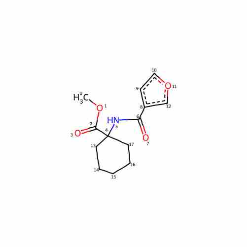 COC(=O)C1(NC(=O)c2ccoc2)CCCCC1